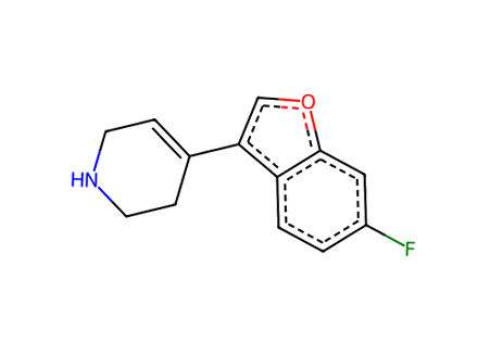 Fc1ccc2c(C3=CCNCC3)coc2c1